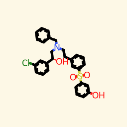 O=S(=O)(c1cccc(O)c1)c1cccc(CCN(Cc2ccccc2)C[C@H](O)c2cccc(Cl)c2)c1